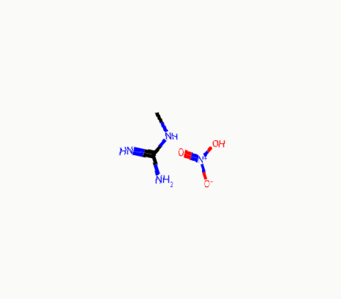 CNC(=N)N.O=[N+]([O-])O